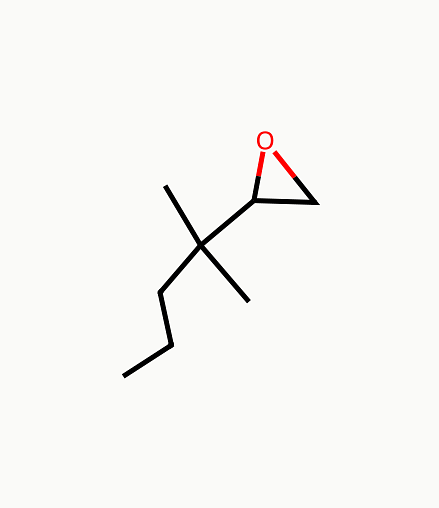 CCCC(C)(C)C1CO1